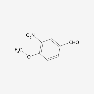 O=Cc1ccc(OC(F)(F)F)c([N+](=O)[O-])c1